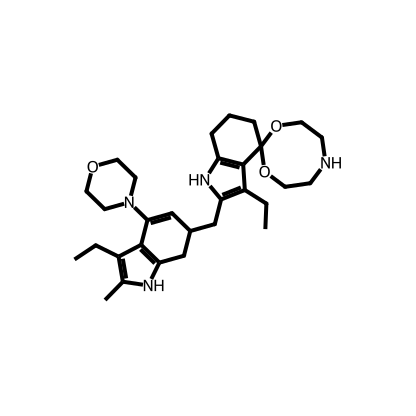 CCc1c(C)[nH]c2c1C(N1CCOCC1)=CC(Cc1[nH]c3c(c1CC)C1(CCC3)OCCNCCO1)C2